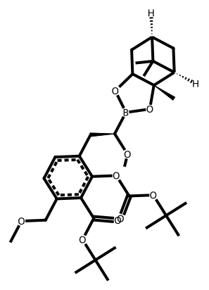 COCc1ccc(C[C@H](OC)B2OC3C[C@H]4C[C@H](C4(C)C)[C@]3(C)O2)c(OC(=O)OC(C)(C)C)c1C(=O)OC(C)(C)C